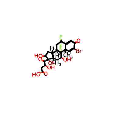 C[C@]12C=C(Br)C(=O)C=C1C(F)C[C@H]1[C@@H]3CC(O)[C@](O)(C(=O)C(O)CC(=O)O)[C@@]3(C)CC(O)[C@@]12F